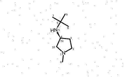 CN1CC[C@H](NC(C)(C)C)C1